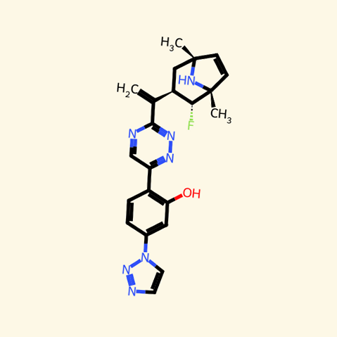 C=C(c1ncc(-c2ccc(-n3ccnn3)cc2O)nn1)[C@H]1C[C@]2(C)C=C[C@@](C)(N2)[C@@H]1F